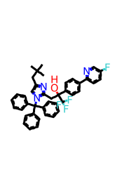 CC(C)(C)Cc1cn(C(c2ccccc2)(c2ccccc2)c2ccccc2)c(CC(O)(c2ccc(-c3ccc(F)cn3)cc2)C(F)(F)F)n1